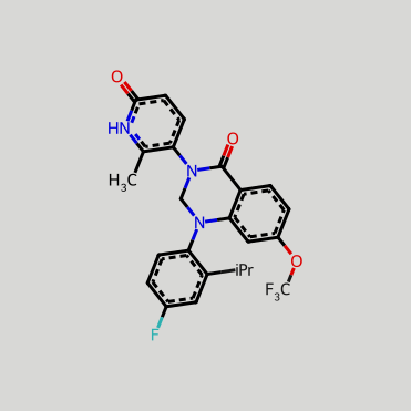 Cc1[nH]c(=O)ccc1N1CN(c2ccc(F)cc2C(C)C)c2cc(OC(F)(F)F)ccc2C1=O